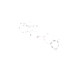 O=C(N[C@H]1[C@@H]2CC3C[C@H]1C[C@](O)(C3)C2)C1COc2ccccc2O1